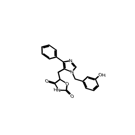 O=C1NC(=O)C(Cc2c(-c3ccccc3)ncn2Cc2cccc(O)c2)O1